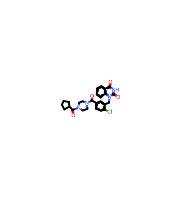 O=C(c1ccc(Cl)c(Cn2c(=O)[nH]c(=O)c3ccccc32)c1)N1CCN(C(=O)C2CCCC2)CC1